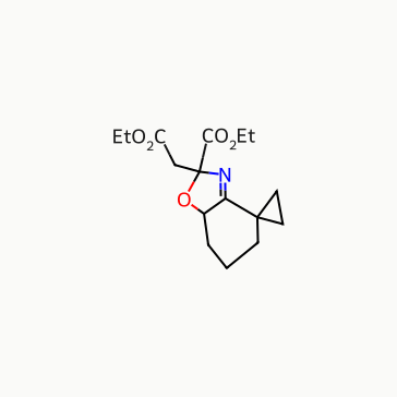 CCOC(=O)CC1(C(=O)OCC)N=C2C(CCCC23CC3)O1